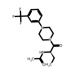 CC[C@@H](NC(C)=O)C(=O)N1CCN(c2cccc(C(F)(F)F)c2)CC1